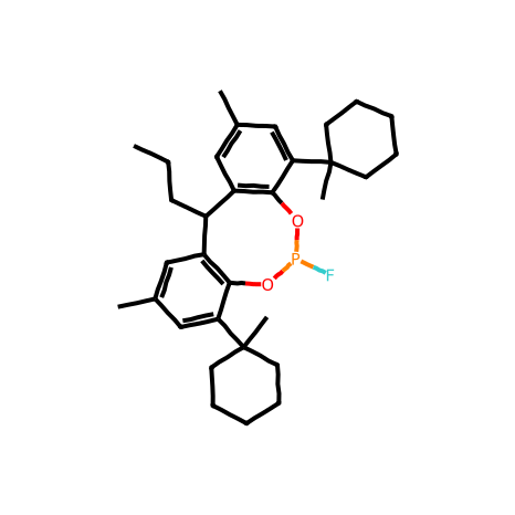 CCCC1c2cc(C)cc(C3(C)CCCCC3)c2OP(F)Oc2c1cc(C)cc2C1(C)CCCCC1